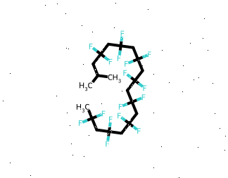 CC(C)CC(F)(F)CC(F)(F)CC(F)(F)CC(F)(F)CC(F)(F)CC(F)(F)CC(F)(F)CC(C)(F)F